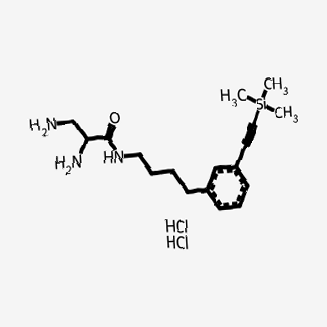 C[Si](C)(C)C#Cc1cccc(CCCCNC(=O)C(N)CN)c1.Cl.Cl